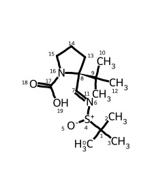 CC(C)(C)[S+]([O-])N=C[C@@]1(C(C)(C)C)CCCN1C(=O)O